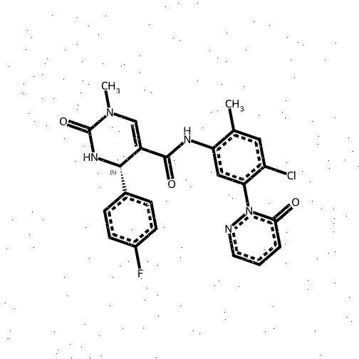 Cc1cc(Cl)c(-n2ncccc2=O)cc1NC(=O)C1=CN(C)C(=O)N[C@H]1c1ccc(F)cc1